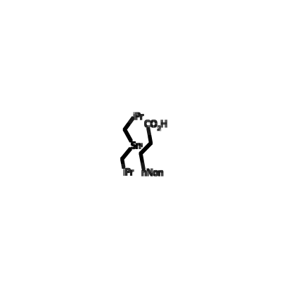 CC(C)[CH2][Sn][CH2]C(C)C.CCCCCCCCCCCC(=O)O